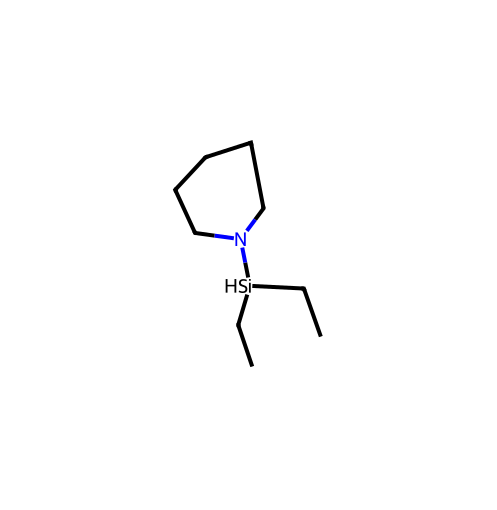 CC[SiH](CC)N1CCCCC1